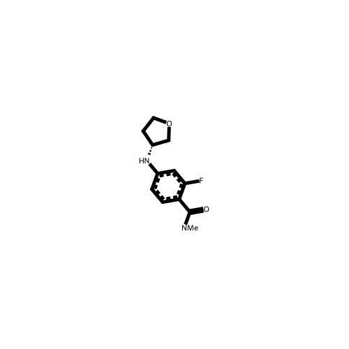 CNC(=O)c1ccc(N[C@@H]2CCOC2)cc1F